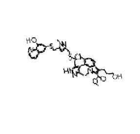 COC(=O)c1c(CCCO)c2ccc(Cl)c(-c3c(C)n[nH]c3CSCc3cc(CSc4cc(O)c5ncccc5c4)n(C)n3)c2n1C